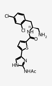 CC(=O)Nc1nc(-c2ccc(C(=O)N[C@H](CN)Cc3ccc(Cl)cc3Cl)s2)c[nH]1